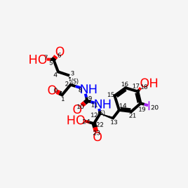 O=C[C@H](CCC(=O)O)NC(=O)N[C@@H](Cc1ccc(O)c(I)c1)C(=O)O